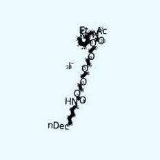 CCCCCCCCCCCCCCCNC(=O)OCCOCCOCCOCCOC(=O)N(Cc1cccc[n+]1CC)C(C)=O.[I-]